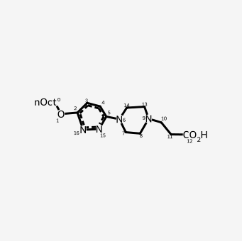 CCCCCCCCOc1ccc(N2CCN(CCC(=O)O)CC2)nn1